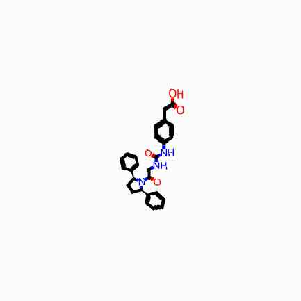 O=C(O)Cc1ccc(NC(=O)NCC(=O)N2[C@@H](c3ccccc3)CC[C@H]2c2ccccc2)cc1